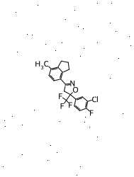 Cc1ccc(C2=NOC(c3ccc(F)c(Cl)c3)(C(F)(F)F)C2)c2c1CCC2